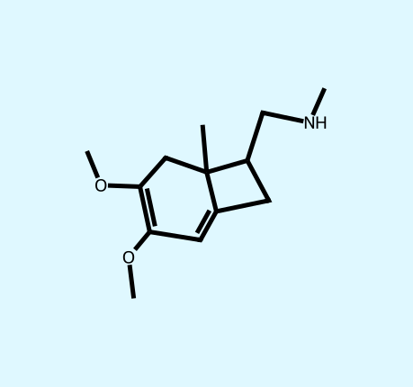 CNCC1CC2=CC(OC)=C(OC)CC21C